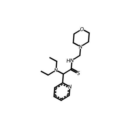 CCN(CC)C(C(=S)NCN1CCOCC1)c1ccccn1